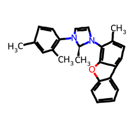 Cc1ccc(N2C=CN(c3c(C)ccc4c3oc3ccccc34)[C@H]2C)c(C)c1